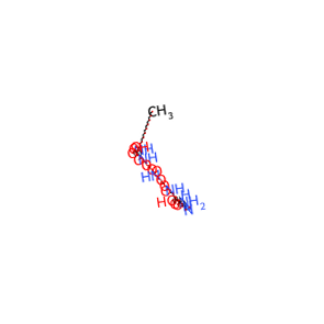 CCCCCCCCCCCCCCCCCC(=O)N[C@@H](CCC(=O)NCCOCCOCC(=O)NCCOCCOCC(=O)NCCCC[C@H](CC(=O)[C@@H](N)Cc1cnc[nH]1)C(=O)O)C(=O)O